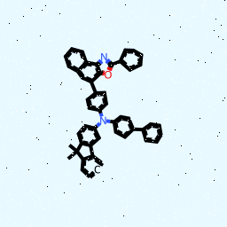 CC1(C)c2ccccc2-c2cc(N(c3ccc(-c4ccccc4)cc3)c3ccc(-c4cc5ccccc5c5nc(-c6ccccc6)oc45)cc3)ccc21